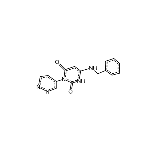 O=c1cc(NCc2ccccc2)[nH]c(=O)n1-c1ccnnc1